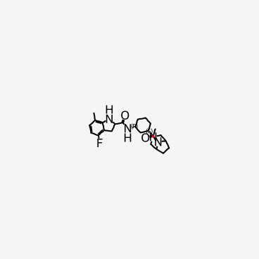 CC(=O)N1C2CCC1CN([C@H]1CCC[C@@H](NC(=O)C3Cc4c(F)ccc(C)c4N3)C1)C2